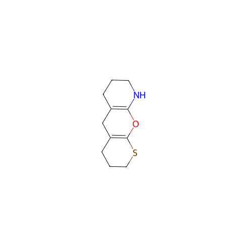 C1CNC2=C(C1)CC1=C(O2)SCCC1